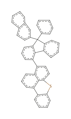 c1ccc(C2(c3ccc4ccccc4c3)c3ccccc3-c3c(-c4ccc5c6c(cccc46)-c4ccccc4S5)cccc32)cc1